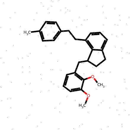 COc1cccc(CC2CCc3cccc(CCc4ccc(C)cc4)c32)c1OC